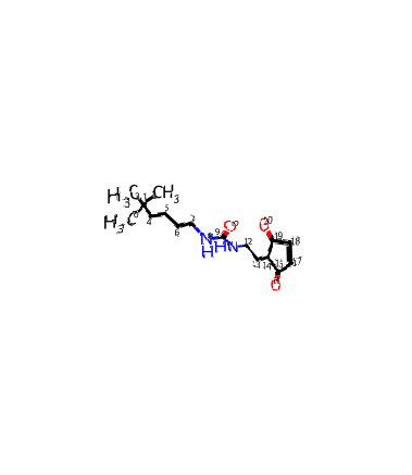 CC(C)(C)CCCCNC(=O)NCCC1C(=O)C=CC1=O